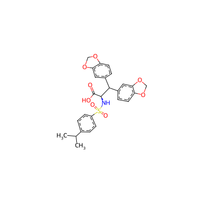 CC(C)c1ccc(S(=O)(=O)N[C@@H](C(=O)O)C(c2ccc3c(c2)OCO3)c2ccc3c(c2)OCO3)cc1